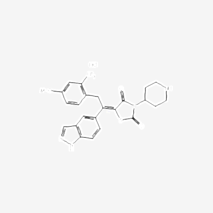 COc1ccc(C/C(=C2/SC(=O)N(C3CCNCC3)C2=O)c2ccc3[nH]ncc3c2)c(C(F)(F)F)c1.Cl